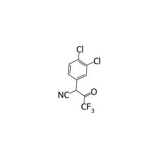 N#CC(C(=O)C(F)(F)F)c1ccc(Cl)c(Cl)c1